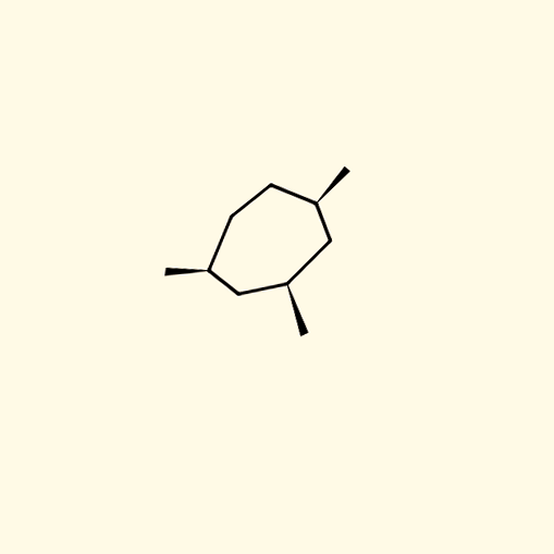 C[C@@H]1C[C@H](C)CC[C@H](C)C1